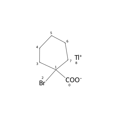 O=C([O-])C1(Br)CCCCC1.[Tl+]